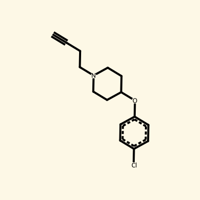 C#CCCN1CCC(Oc2ccc(Cl)cc2)CC1